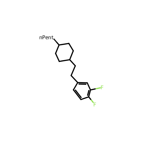 CCCCCC1CCC(CCc2ccc(F)c(F)c2)CC1